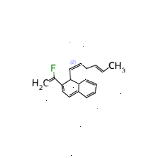 C=C(F)C1=CC=C2C=CC=CC2C1/C=C\CC=CC